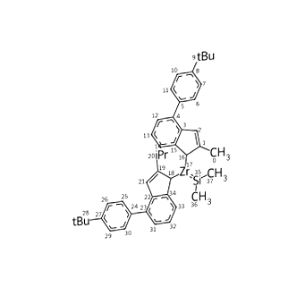 CC1=Cc2c(-c3ccc(C(C)(C)C)cc3)cccc2[CH]1[Zr]([CH]1C(C(C)C)=Cc2c(-c3ccc(C(C)(C)C)cc3)cccc21)=[Si](C)C